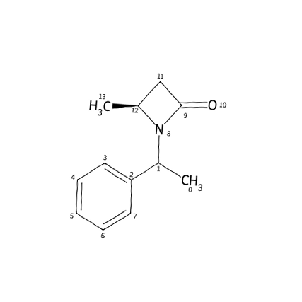 CC(c1ccccc1)N1C(=O)C[C@@H]1C